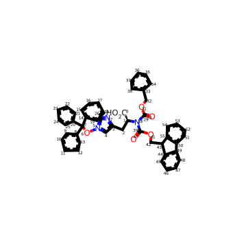 O=C(O)[C@H](Cc1cn(OC(c2ccccc2)(c2ccccc2)c2ccccc2)cn1)N(C(=O)OCc1ccccc1)C(=O)OCC1c2ccccc2-c2ccccc21